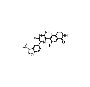 CN(C)C1COc2ccc(-c3nc(-c4cc5c(cc4F)C(=O)NCC5)c(N)nc3F)cc21